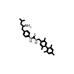 Cc1cc(C)c(-c2cc(C)c(CNC(=S)Nc3ccc(CC(N)CC(C)C)cc3)cc2C)c(C)c1